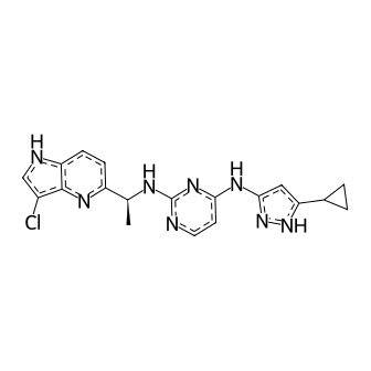 C[C@H](Nc1nccc(Nc2cc(C3CC3)[nH]n2)n1)c1ccc2[nH]cc(Cl)c2n1